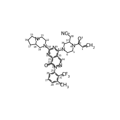 C=CC(=O)N1CCN(c2nc(N3CCN4CCCC4C3)nc3c(=O)n(-c4cccc(C)c4C(F)(F)F)ncc23)CC1CC#N